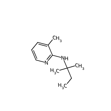 CCC(C)(C)Nc1ncccc1C